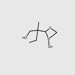 CCC(C)(CO)C1OCN1O